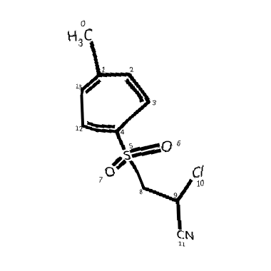 Cc1ccc(S(=O)(=O)CC(Cl)C#N)cc1